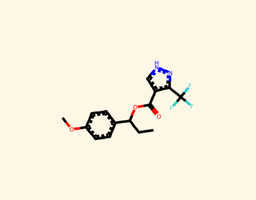 CCC(OC(=O)c1c[nH]nc1C(F)(F)F)c1ccc(OC)cc1